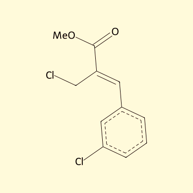 COC(=O)/C(=C/c1cccc(Cl)c1)CCl